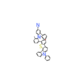 Cc1cccc(-c2cccc3c2sc2c3ccc3c2c2ccccc2n3-c2ccccc2)c1-n1c2ccccc2c2cc(C#N)ccc21